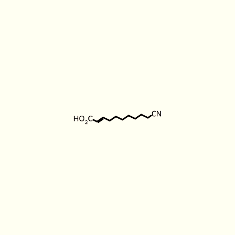 N#CCCCCCCCC=CC(=O)O